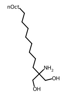 CCCCCCCCCCCCCCCCC(N)(CO)CO